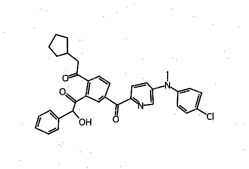 CN(c1ccc(Cl)cc1)c1ccc(C(=O)c2ccc(C(=O)CC3CCCC3)c(C(=O)C(O)c3ccccc3)c2)nc1